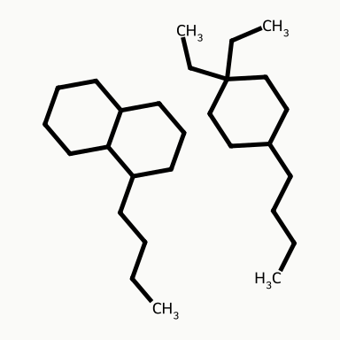 CCCCC1CCC(CC)(CC)CC1.CCCCC1CCCC2CCCCC12